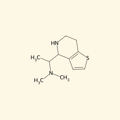 CC(C1NCCc2sccc21)N(C)C